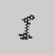 Cc1cc(CN2CCOCC2)cc(NCCCCCCN2C[C@H](O)[C@@H](O)[C@H](O)[C@H]2CO)c1